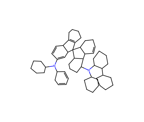 C1=CCC(N(C2=CC3C(C=C2)C2=C(CCCC2)C32C3CCC=CC3C3C(N(C4CCCCC4)C4CCCCC4C4CCCCC4)CCCC32)C2CCCCC2)C=C1